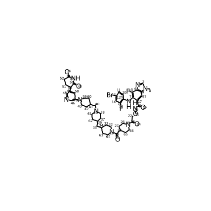 Cn1cnc2c(F)c(Nc3ccc(Br)cc3F)c(C(=O)NOCC(=O)N3CCC(C(=O)N4CCC(CC5CCN(CC6CCN(c7cncc(C8CCC(=O)NC8=O)c7)CC6)CC5)CC4)CC3)cc21